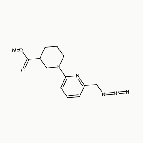 COC(=O)C1CCCN(c2cccc(CN=[N+]=[N-])n2)C1